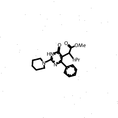 CCCC(C(=O)OC)c1c(-c2ccccc2)nc(N2CCCCC2)[nH]c1=O